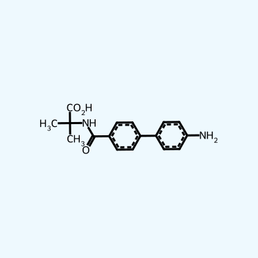 CC(C)(NC(=O)c1ccc(-c2ccc(N)cc2)cc1)C(=O)O